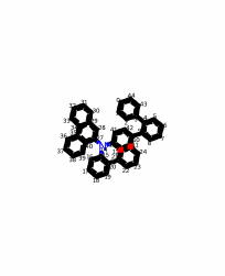 c1ccc(-c2ccccc2-c2ccc(N(c3ccccc3-c3ccccc3)c3cc4ccccc4c4ccccc34)cc2)cc1